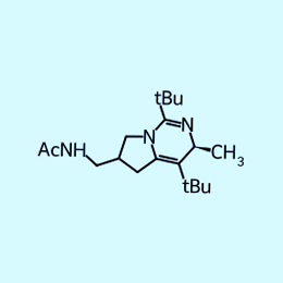 CC(=O)NCC1CC2=C(C(C)(C)C)[C@H](C)N=C(C(C)(C)C)N2C1